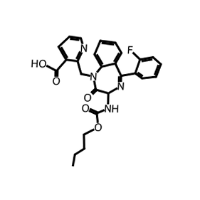 CCCCOC(=O)NC1N=C(c2ccccc2F)c2ccccc2N(Cc2ncccc2C(=O)O)C1=O